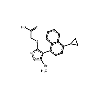 O.O=C(O)CSc1nnc(Br)n1-c1ccc(C2CC2)c2ccccc12